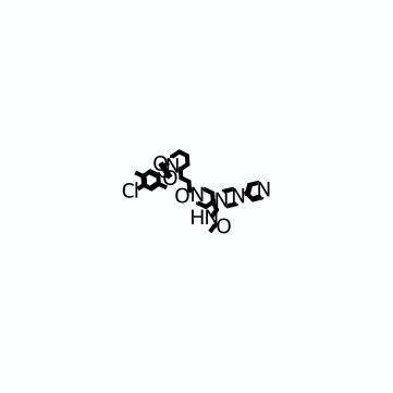 CC(=O)NCC1(N2CCN(c3ccncc3)CC2)CCN(C(=O)CCC2CCCCN2S(=O)(=O)c2cc(C)c(Cl)cc2C)CC1